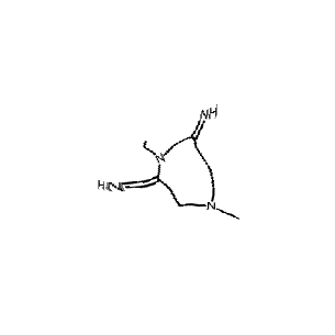 CN1CC(=N)N(C)C(=N)C1